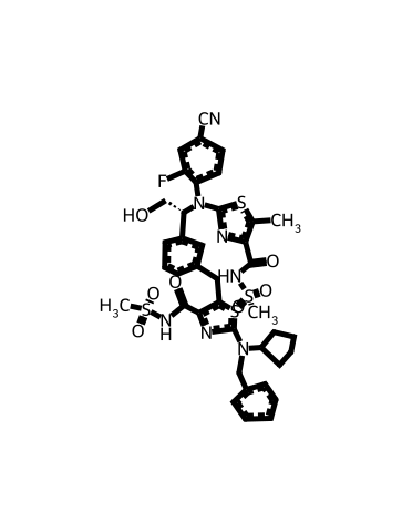 Cc1sc(N(c2ccc(C#N)cc2F)[C@@H](CO)c2cccc(Cc3sc(N(Cc4ccccc4)C4CCCC4)nc3C(=O)NS(C)(=O)=O)c2)nc1C(=O)NS(C)(=O)=O